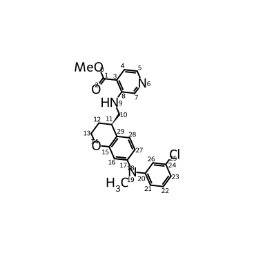 COC(=O)c1ccncc1NC[C@@H]1CCOc2cc(N(C)c3cccc(Cl)c3)ccc21